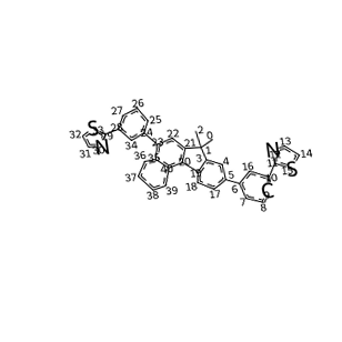 CC1(C)c2cc(-c3cccc(-c4nccs4)c3)ccc2-c2c1cc(-c1cccc(-c3nccs3)c1)c1ccccc21